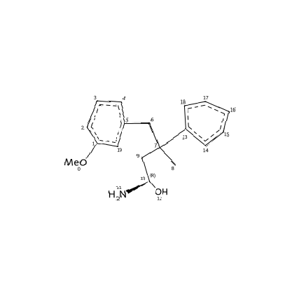 COc1cccc(CC(C)(C[C@H](N)O)c2ccccc2)c1